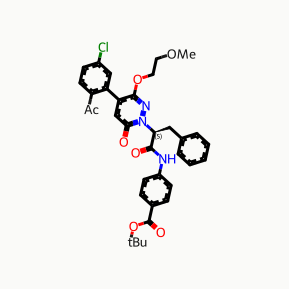 COCCOc1nn([C@@H](Cc2ccccc2)C(=O)Nc2ccc(C(=O)OC(C)(C)C)cc2)c(=O)cc1-c1cc(Cl)ccc1C(C)=O